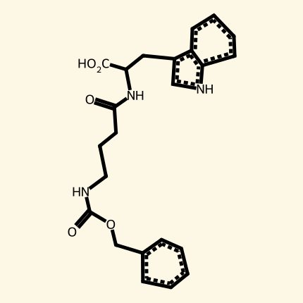 O=C(CCCNC(=O)OCc1ccccc1)NC(Cc1c[nH]c2ccccc12)C(=O)O